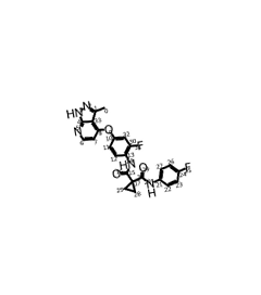 Cc1n[nH]c2nccc(Oc3ccc(NC(=O)C4(C(=O)Nc5ccc(F)cc5)CC4)c(F)c3)c12